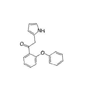 O=C(Cc1ccc[nH]1)c1ccccc1Oc1ccccc1